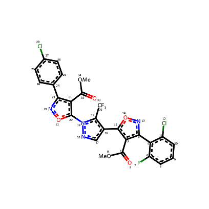 COC(=O)c1c(-c2c(F)cccc2Cl)noc1-c1cnn(-c2onc(-c3ccc(Cl)cc3)c2C(=O)OC)c1C(F)(F)F